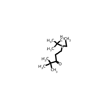 CCN(CCC(=O)C(C)(C)C)C(C)(C)C